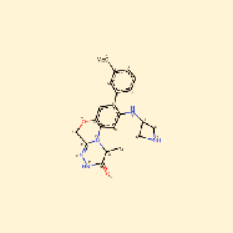 COc1cccc(-c2cc3c(cc2NC2CNC2)N2C(=NNC(=O)C2C)CO3)c1